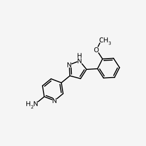 COc1ccccc1-c1cc(-c2ccc(N)nc2)n[nH]1